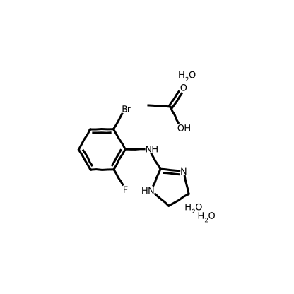 CC(=O)O.Fc1cccc(Br)c1NC1=NCCN1.O.O.O